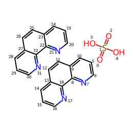 O=S(=O)(O)O.c1cnc2c(c1)ccc1cccnc12.c1cnc2c(c1)ccc1cccnc12